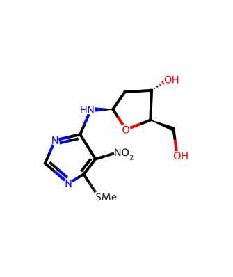 CSc1ncnc(N[C@H]2C[C@H](O)[C@@H](CO)O2)c1[N+](=O)[O-]